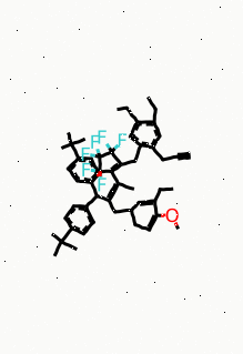 C#CCc1cc(CC)c(CC)cc1CC1=C(/C(C)=C(/CC2C=C(CC)C(OC)=CC2)C(c2ccc(C(C)(C)C)cc2)c2ccc(C(C)(C)C)cc2)C(F)(F)C(F)(F)C1(F)F